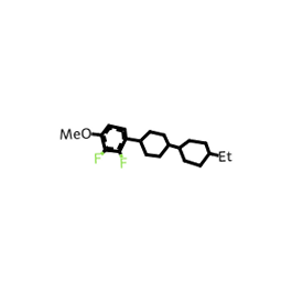 CCC1CCC(C2CCC(c3ccc(OC)c(F)c3F)CC2)CC1